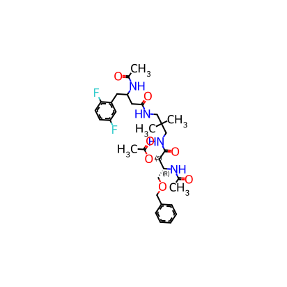 CC(=O)NC(CC(=O)NCC(C)(C)CNC(=O)[C@@H](OC(C)=O)[C@@H](COCc1ccccc1)NC(C)=O)Cc1cc(F)ccc1F